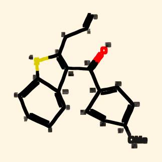 C=CCc1sc2ccccc2c1C(=O)c1ccc(OC)cc1